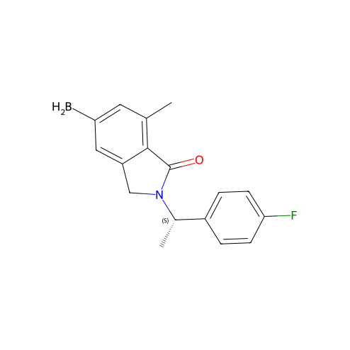 Bc1cc(C)c2c(c1)CN([C@@H](C)c1ccc(F)cc1)C2=O